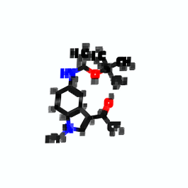 CCCn1cc(C(=O)C(F)(F)F)c2cc(NC(C)O[Si](C)(C)C(C)(C)C)ccc21